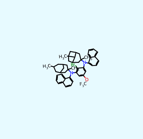 CC1CC2CC(C1)CC(C)(N(c1cc(OC(F)(F)F)cc(N(c3cccc4ccccc34)C3(C)CC4CC5(C)CC(C3)C45)c1Br)c1cccc3ccccc13)C2